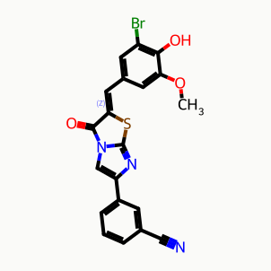 COc1cc(/C=c2\sc3nc(-c4cccc(C#N)c4)cn3c2=O)cc(Br)c1O